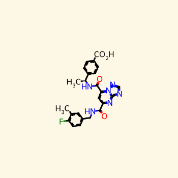 Cc1cc(CNC(=O)c2cc(C(=O)N[C@@H](C)c3ccc(C(=O)O)cc3)n3ncnc3n2)ccc1F